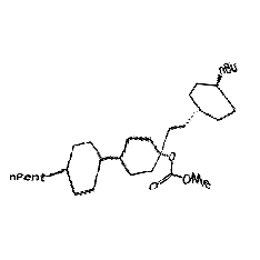 CCCCCC1CCC(C2CCC(CC[C@H]3CC[C@H](CCCC)CC3)(OC(=O)OC)CC2)CC1